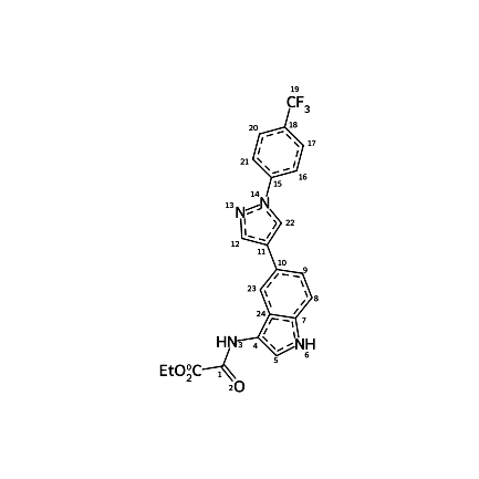 CCOC(=O)C(=O)Nc1c[nH]c2ccc(-c3cnn(-c4ccc(C(F)(F)F)cc4)c3)cc12